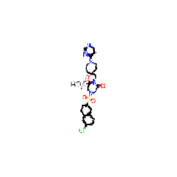 O=C1CN(S(=O)(=O)c2ccc3cc(Cl)ccc3c2)CC2(C(=O)O)OC3(CCN(c4ccncn4)CC3)CN12